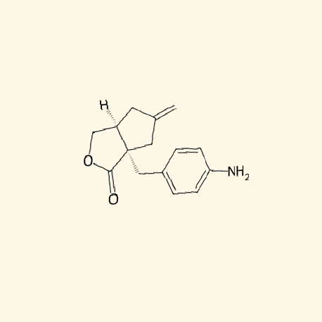 C=C1C[C@@H]2COC(=O)[C@]2(Cc2ccc(N)cc2)C1